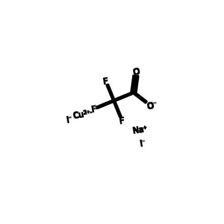 O=C([O-])C(F)(F)F.[Cu+2].[I-].[I-].[Na+]